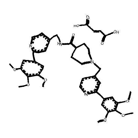 COc1cc(-c2cc(CNC(=O)C3CCN(Cc4ccnc(-c5cc(OC)c(OC)c(OC)c5)c4)CC3)ccn2)cc(OC)c1OC.O=C(O)C=CC(=O)O